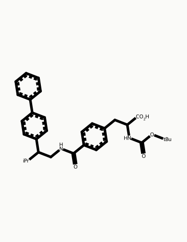 CC(C)C(CNC(=O)c1ccc(CC(NC(=O)OC(C)(C)C)C(=O)O)cc1)c1ccc(-c2ccccc2)cc1